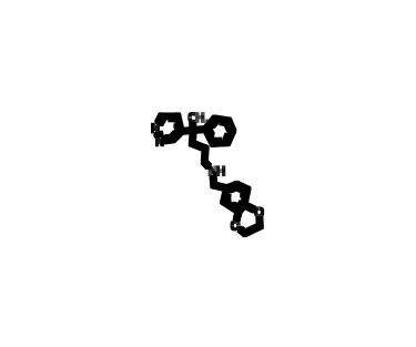 CC(CCCNCc1ccc2c(c1)OCCO2)(c1ccccc1)c1ccnnc1